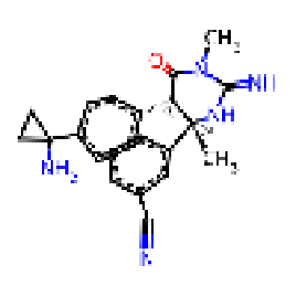 CN1C(=N)N[C@](C)(c2cccc(C#N)c2)[C@H](c2ccc(C3(N)CC3)cc2)C1=O